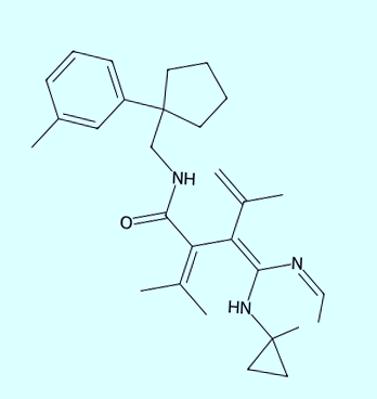 C=C(C)/C(C(C(=O)NCC1(c2cccc(C)c2)CCCC1)=C(C)C)=C(\N=C/C)NC1(C)CC1